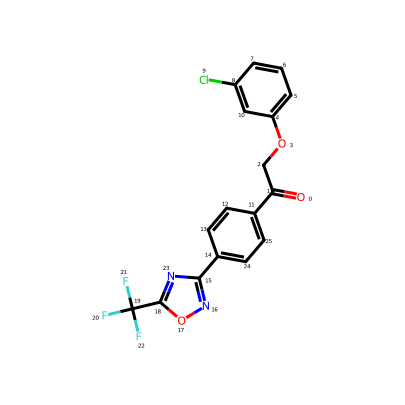 O=C(COc1cccc(Cl)c1)c1ccc(-c2noc(C(F)(F)F)n2)cc1